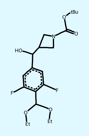 CCOC(OCC)c1c(F)cc(C(O)C2CN(C(=O)OC(C)(C)C)C2)cc1F